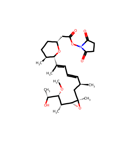 CO[C@H]([C@@H](C)[C@H]1O[C@]1(C)C[C@H](C)/C=C/C=C(\C)[C@H]1O[C@@H](CC(=O)ON2C(=O)CCC2=O)CC[C@@H]1C)[C@@H](C)O